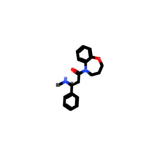 CCN[C@@H](CC(=O)N1CCCOc2ccccc21)c1ccccc1